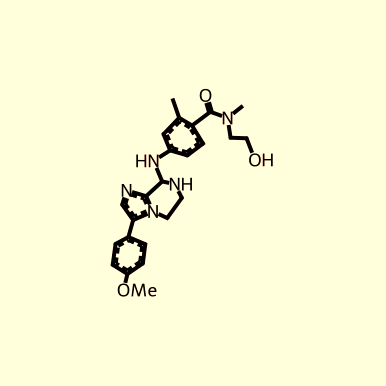 COc1ccc(-c2cnc3n2CCNC3Nc2ccc(C(=O)N(C)CCO)c(C)c2)cc1